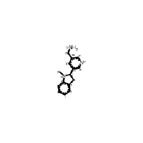 CN1c2ccccc2CC1c1cncc(CN)c1